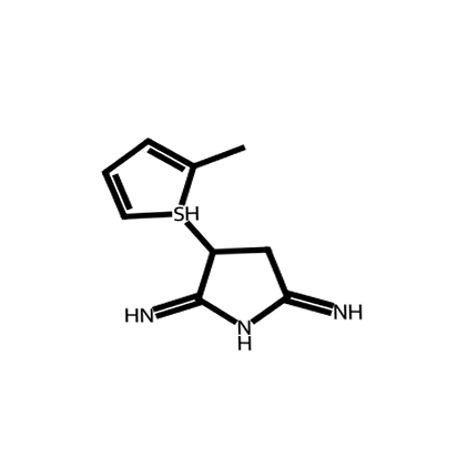 CC1=CC=C[SH]1C1CC(=N)NC1=N